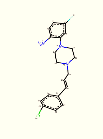 Nc1ccc(F)cc1N1CCN(CC=Cc2ccc(Cl)cc2)CC1